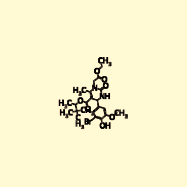 CCOC(=O)CN1C(=O)NC(c2cc(Br)c(O)c(OC)c2)C(C(=O)OC(C)C(C)(C)C)=C1C